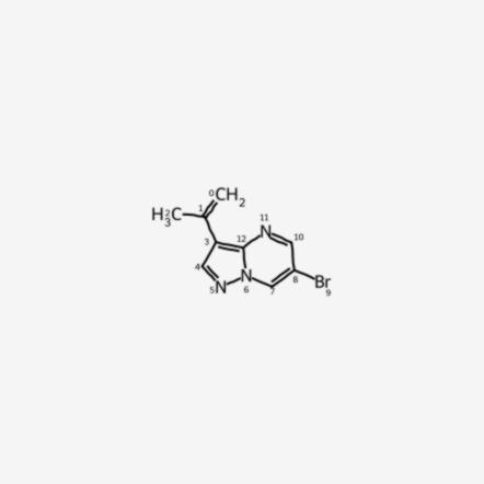 C=C(C)c1cnn2cc(Br)cnc12